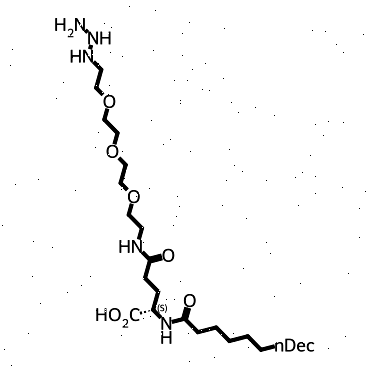 CCCCCCCCCCCCCCCC(=O)N[C@@H](CCC(=O)NCCOCCOCCOCCNNN)C(=O)O